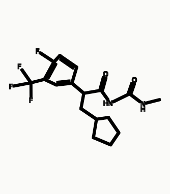 CNC(=O)NC(=O)C(CC1CCCC1)c1ccc(F)c(C(F)(F)F)c1